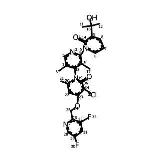 Cc1cnc(-n2cccc(C(C)(C)O)c2=O)c(C)c1-n1c(C)cc(OCc2ncc(F)cc2F)c(Cl)c1=O